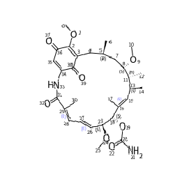 COC1=C2C[C@@H](C)C[C@H](OC)[C@H](C)[C@@H](C)/C=C(\C)[C@H](OC(N)=O)[C@@H](OC)/C=C/C=C(\C)C(=O)NC(=CC1=O)C2=O